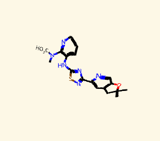 CN(C(=O)O)c1ncccc1Nc1nc(-c2cc3c(cn2)OC(C)(C)C3)ns1